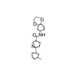 Cc1cccc(-c2ccc(C(=O)Nc3ccc4c(c3)OCCCO4)cn2)c1